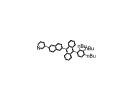 CCCCc1ccc(-c2c3ccccc3c(-c3ccc4cc(-c5cccnc5)ccc4c3)c3ccccc23)c(CCCC)c1CCCC